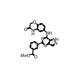 COC(=O)c1cccc(-c2nc(Nc3ccc4c(c3)NC(=O)CO4)c3[nH]ncc3n2)c1